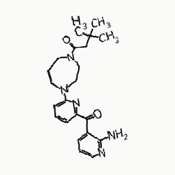 CC(C)(C)CC(=O)N1CCCN(c2cccc(C(=O)c3cccnc3N)n2)CC1